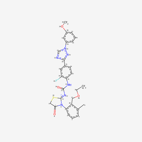 Cc1cccc(N2C(=O)CS/C2=N\C(=O)Nc2ccc(-c3ncn(-c4cccc(OC(F)(F)F)c4)n3)cc2F)c1COCC(F)(F)F